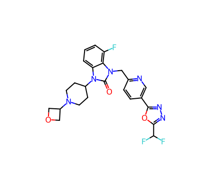 O=c1n(Cc2ccc(-c3nnc(C(F)F)o3)cn2)c2c(F)cccc2n1C1CCN(C2COC2)CC1